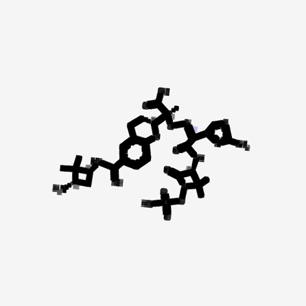 CC1(C)[C@@H](NC(=N)c2ccc3c(c2)CC[C@H]([C@](C)(O/N=C(\C(=O)N[C@@H]2C(=O)N(OS(=O)(=O)O)C2(C)C)c2csc(N)n2)C(=O)O)O3)C[C@@H]1N